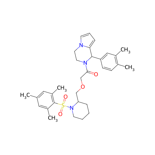 Cc1cc(C)c(S(=O)(=O)N2CCCCC2COCC(=O)N2CCn3cccc3C2c2ccc(C)c(C)c2)c(C)c1